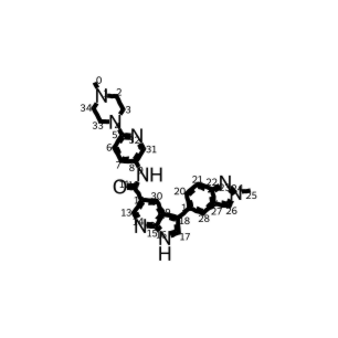 CN1CCN(c2ccc(NC(=O)c3cnc4[nH]cc(-c5ccc6nn(C)cc6c5)c4c3)cn2)CC1